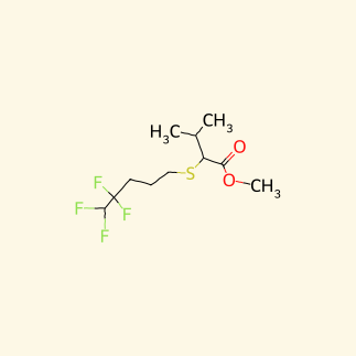 COC(=O)C(SCCCC(F)(F)C(F)F)C(C)C